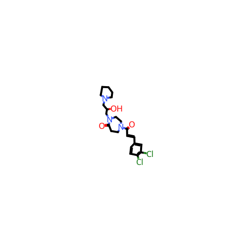 O=C(/C=C/c1ccc(Cl)c(Cl)c1)N1CCC(=O)N(CC(O)CN2CCCCC2)CC1